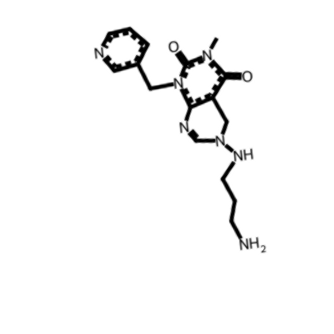 Cn1c(=O)c2c(n(Cc3cccnc3)c1=O)N=CN(NCCCN)C2